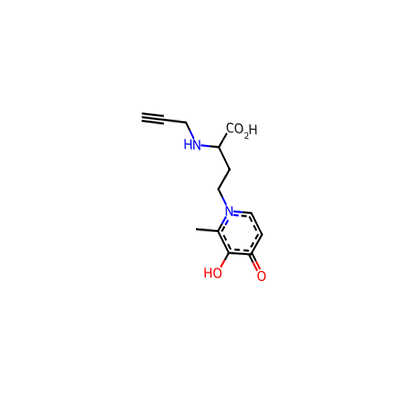 C#CCNC(CCn1ccc(=O)c(O)c1C)C(=O)O